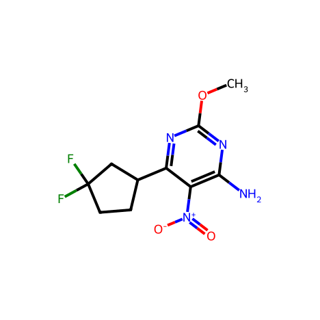 COc1nc(N)c([N+](=O)[O-])c(C2CCC(F)(F)C2)n1